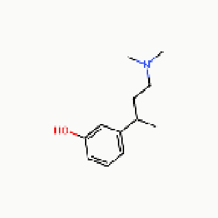 CC(CCN(C)C)c1cccc(O)c1